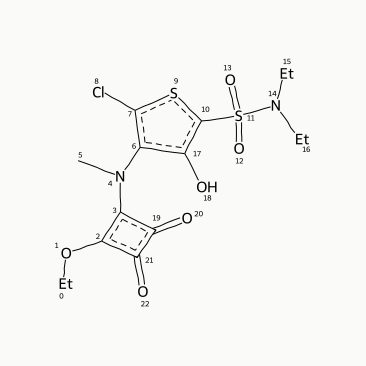 CCOc1c(N(C)c2c(Cl)sc(S(=O)(=O)N(CC)CC)c2O)c(=O)c1=O